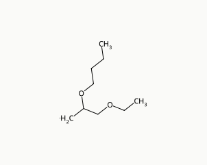 [CH2]C(COCC)OCCCC